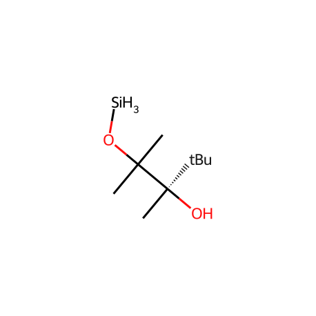 CC(C)(C)[C@@](C)(O)C(C)(C)O[SiH3]